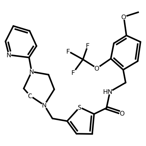 COc1ccc(CNC(=O)c2ccc(CN3CCN(c4ccccn4)CC3)s2)c(OC(F)(F)F)c1